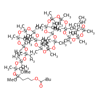 CCC(C)C(=O)OCCC[Si](OC)(OC)O[Si](C)(C)O[Si](C)(C)O[Si](C)(C)O[Si](C)(C)O[Si](C)(C)O[Si](C)(C)O[Si](C)(C)O[Si](C)(C)O[Si](C)(C)O[Si](C)(C)O[Si](C)(C)O[Si](C)(C)O[Si](C)(C)O[Si](C)(C)O[Si](C)(C)O[Si](C)(C)O[Si](C)(C)O[Si](C)(C)O[Si](C)(C)O[SiH](C)C